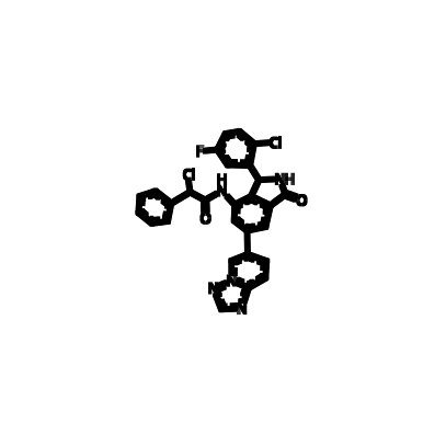 O=C1NC(c2cc(F)ccc2Cl)c2c(NC(=O)C(Cl)c3ccccc3)cc(-c3ccc4ncnn4c3)cc21